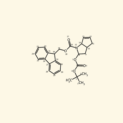 CC(C)(C)OC(=O)OC1CC2CC=CC2N1C(=O)OCC1c2ccccc2-c2ccccc21